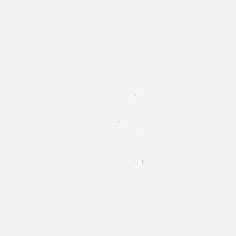 COCC1CNCC1c1ccc(N2CCCC2)cc1